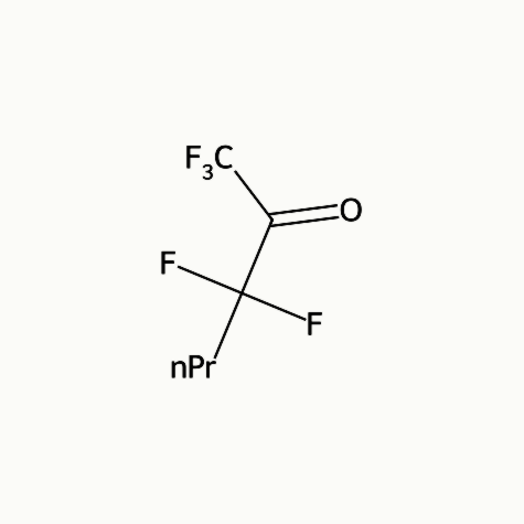 CCCC(F)(F)C(=O)C(F)(F)F